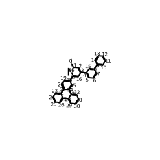 Ic1cc(-c2cccc(-c3ccccc3)c2)cc(-c2ccc3c4ccccc4c4ccccc4c3c2)n1